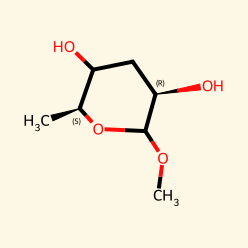 COC1O[C@@H](C)C(O)C[C@H]1O